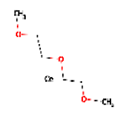 COCCOCCOC.[Ce]